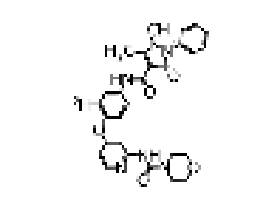 [2H]c1cc(NC(=O)c2c(C)n(C)n(-c3ccccc3)c2=O)ccc1Oc1ccnc(NC(=O)N2CCOCC2)c1